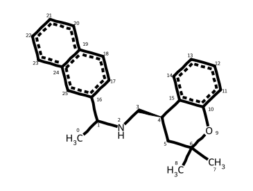 CC(NC[C@@H]1CC(C)(C)Oc2ccccc21)c1ccc2ccccc2c1